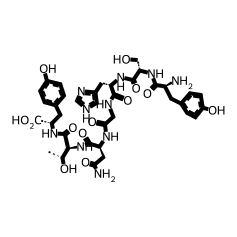 C[C@@H](O)[C@H](NC(=O)[C@H](CC(N)=O)NC(=O)CNC(=O)[C@H](Cc1c[nH]cn1)NC(=O)[C@H](CO)NC(=O)[C@@H](N)Cc1ccc(O)cc1)C(=O)N[C@@H](Cc1ccc(O)cc1)C(=O)O